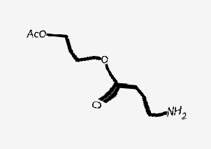 CC(=O)OCCOC(=O)CCN